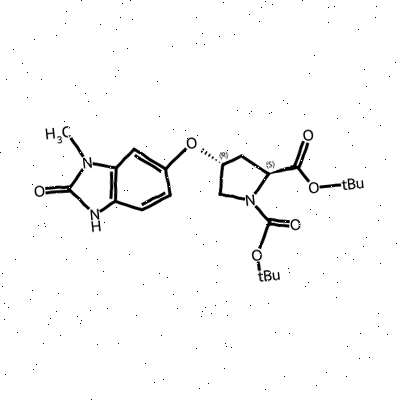 Cn1c(=O)[nH]c2ccc(O[C@@H]3C[C@@H](C(=O)OC(C)(C)C)N(C(=O)OC(C)(C)C)C3)cc21